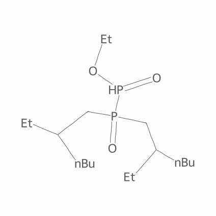 CCCCC(CC)CP(=O)(CC(CC)CCCC)[PH](=O)OCC